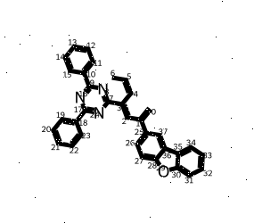 C=C(/C=C(\C=C/C)c1nc(-c2ccccc2)nc(-c2ccccc2)n1)c1ccc2oc3ccccc3c2c1